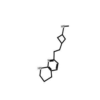 CNC1CC(CCc2ccc3c(n2)NCCC3)C1